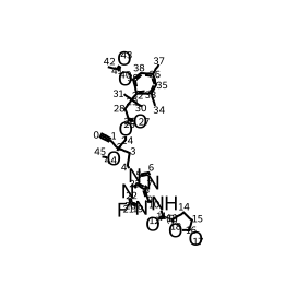 C#CC(CCn1cnc2c(NC(=O)[C@H]3CCC(=O)O3)nc(F)nc21)(COC(=O)CC(C)(C)c1c(C)cc(C)cc1OC(C)=O)OC